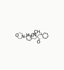 CN(C)C([C]=O)(Cc1ccccc1)Cc1ccc(N2CCOCC2)cc1